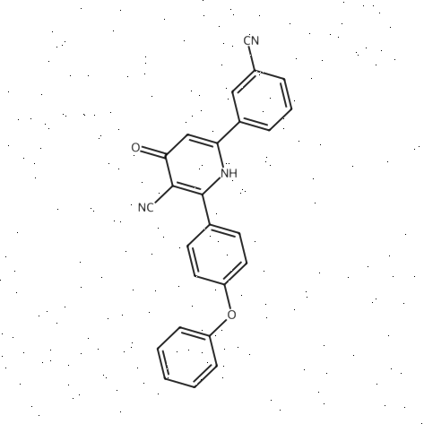 N#Cc1cccc(-c2cc(=O)c(C#N)c(-c3ccc(Oc4ccccc4)cc3)[nH]2)c1